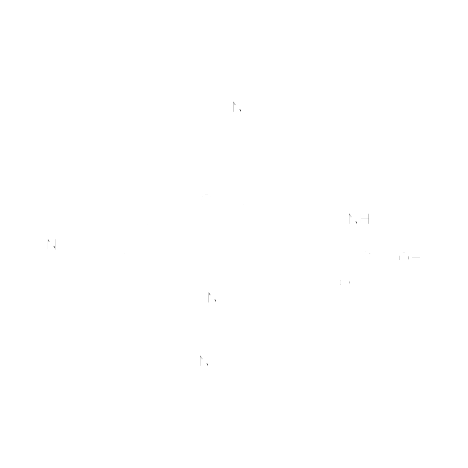 N#Cc1cc(C#N)cc(Oc2c(C#N)cc(NC(=O)O)cc2C#N)c1